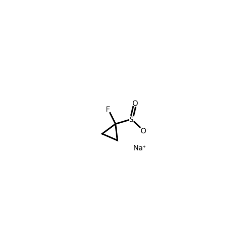 O=S([O-])C1(F)CC1.[Na+]